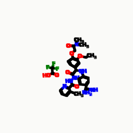 CCOc1cc(C(Nc2ccc(C(=N)N)cc2)C(=O)NNC(=O)c2ncccc2C)ccc1OCC(=O)N(C)C.O=C(O)C(F)(F)F